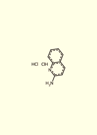 Cl.Cl.Nc1ccc2ccccc2n1